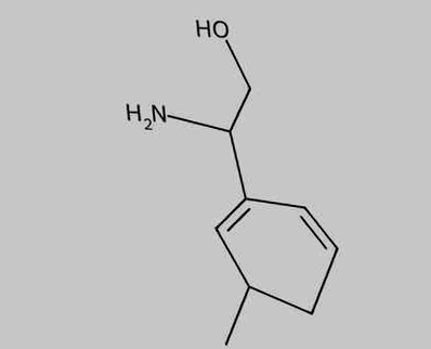 CC1C=C(C(N)CO)C=CC1